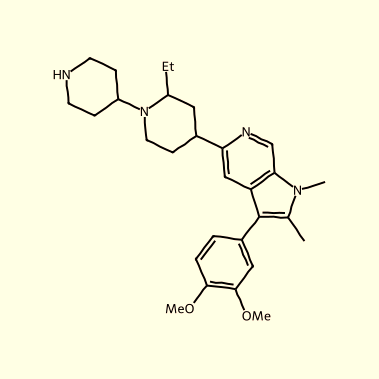 CCC1CC(c2cc3c(-c4ccc(OC)c(OC)c4)c(C)n(C)c3cn2)CCN1C1CCNCC1